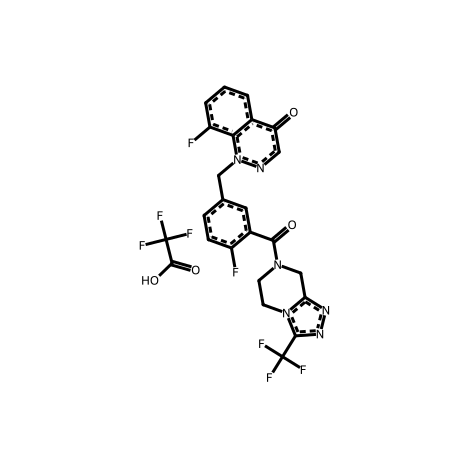 O=C(O)C(F)(F)F.O=C(c1cc(Cn2ncc(=O)c3cccc(F)c32)ccc1F)N1CCn2c(nnc2C(F)(F)F)C1